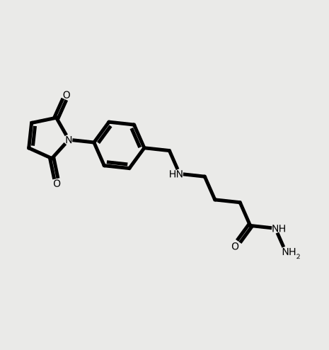 NNC(=O)CCCNCc1ccc(N2C(=O)C=CC2=O)cc1